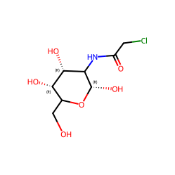 O=C(CCl)NC1[C@H](O)OC(CO)[C@H](O)[C@@H]1O